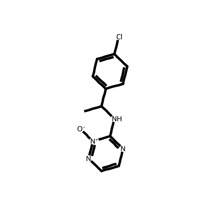 CC(Nc1nccn[n+]1[O-])c1ccc(Cl)cc1